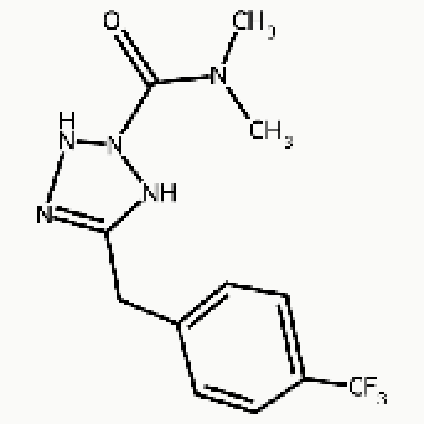 CN(C)C(=O)N1NN=C(Cc2ccc(C(F)(F)F)cc2)N1